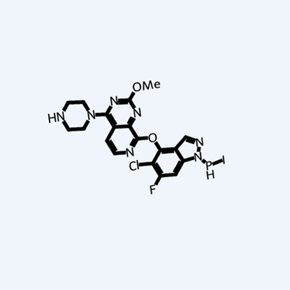 COc1nc(N2CCNCC2)c2ccnc(Oc3c(Cl)c(F)cc4c3cnn4PI)c2n1